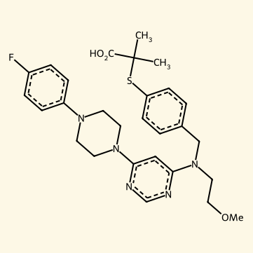 COCCN(Cc1ccc(SC(C)(C)C(=O)O)cc1)c1cc(N2CCN(c3ccc(F)cc3)CC2)ncn1